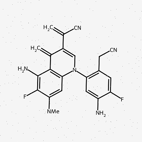 C=C(C#N)C1=CN(c2cc(N)c(F)cc2CC#N)c2cc(NC)c(F)c(N)c2C1=C